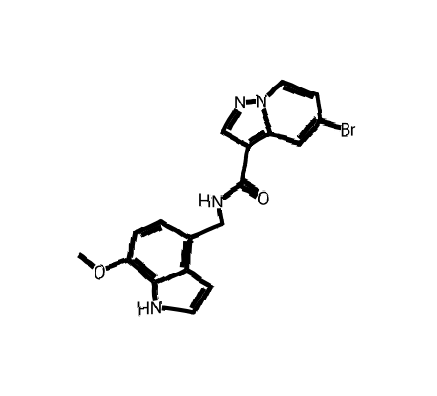 COc1ccc(CNC(=O)c2cnn3ccc(Br)cc23)c2cc[nH]c12